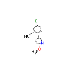 C#Cc1cc(F)ccc1-c1ccc(OC)nc1